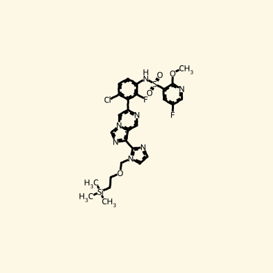 COc1ncc(F)cc1S(=O)(=O)Nc1ccc(Cl)c(-c2cn3cnc(-c4nccn4COCC[Si](C)(C)C)c3cn2)c1F